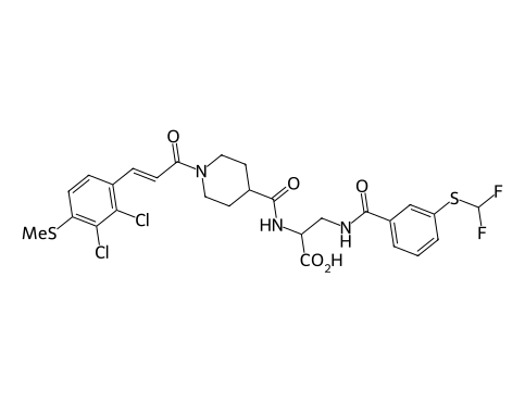 CSc1ccc(C=CC(=O)N2CCC(C(=O)NC(CNC(=O)c3cccc(SC(F)F)c3)C(=O)O)CC2)c(Cl)c1Cl